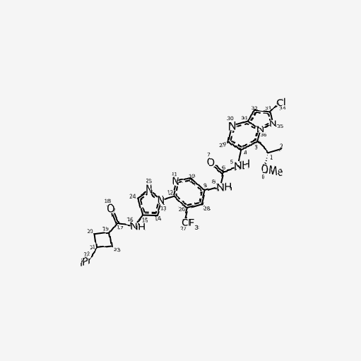 CO[C@@H](C)c1c(NC(=O)Nc2cnc(-n3cc(NC(=O)C4CC(C(C)C)C4)cn3)c(C(F)(F)F)c2)cnc2cc(Cl)nn12